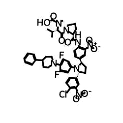 CC(C)[C@@H](C(=O)N1CCC[C@H]1C(=O)Nc1ccc([C@H]2CC[C@H](c3ccc(Cl)c([N+](=O)[O-])c3)N2c2cc(F)c(N3CCC(c4ccccc4)CC3)c(F)c2)cc1[N+](=O)[O-])N(C)C(=O)O